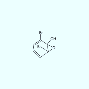 OC12OC1(Br)C=CC=C2Br